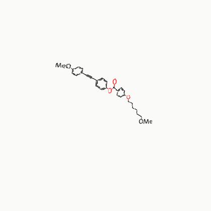 COCCCCCCOc1ccc(C(=O)Oc2ccc(C#Cc3ccc(OC)cc3)cc2)cc1